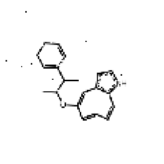 CC(OC1=C\c2cc[nH]c2\C=C/C=C/1)C(C)C1=CCCC=C1